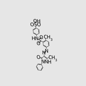 Cc1ccc(N=Nc2c(C)[nH]n(-c3ccccc3)c2=O)cc1S(=O)(=O)Nc1ccc(S(=O)(=O)O)cc1